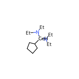 CC[N](CC)[GeH]([CH]1CCCC1)[N](CC)CC